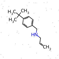 C=CCNCc1ccc(C(C)(C)C)cc1